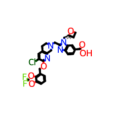 O=C(O)c1ccc2nc(CN3CCc4cc(Cl)c(OCc5cccc6c5OC(F)(F)O6)nc4C3)n(C[C@@H]3CCO3)c2c1